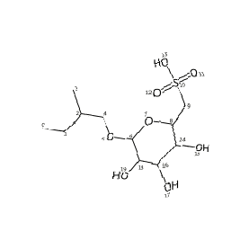 CCC(C)COC1OC(CS(=O)(=O)O)C(O)C(O)C1O